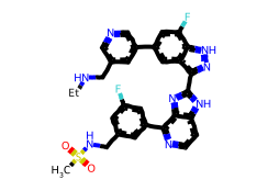 CCNCc1cncc(-c2cc(F)c3[nH]nc(-c4nc5c(-c6cc(F)cc(CNS(C)(=O)=O)c6)nccc5[nH]4)c3c2)c1